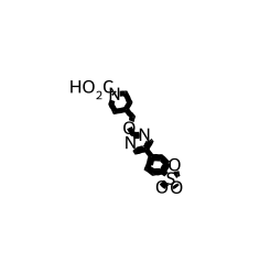 O=C(O)N1CCC(COc2ncc(-c3ccc4c(c3)OCS4(=O)=O)cn2)CC1